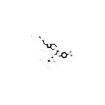 CCOC(=O)Cc1sc2c(c1C)CN(C(=O)[C@H](Cc1ccc([N+](=O)[O-])cc1)NC(=O)OC(C)(C)C)CC2